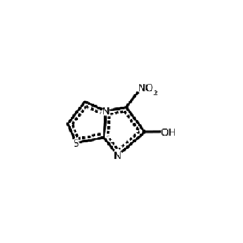 O=[N+]([O-])c1c(O)nc2sccn12